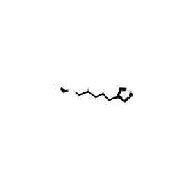 O=COCCCCCc1ccoc1